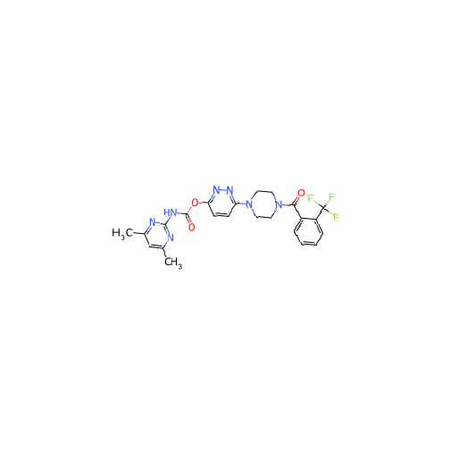 Cc1cc(C)nc(NC(=O)Oc2ccc(N3CCN(C(=O)c4ccccc4C(F)(F)F)CC3)nn2)n1